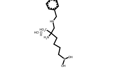 Cl.Cl.NC(CCCCB(O)O)(CNCc1ccccc1)C(=O)O